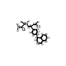 CC/C(C)=C\C(=C/N(C)C(C)C(=O)N(C)C)c1ccc(-c2cncc3ccccc23)cc1